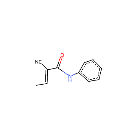 CC=C(C#N)C(=O)Nc1ccccc1